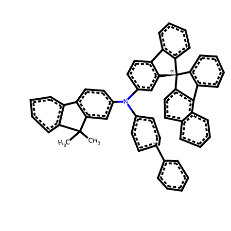 CC1(C)c2ccccc2-c2ccc(N(c3ccc(-c4ccccc4)cc3)c3ccc4c(c3)[C@@]3(c5ccccc5-4)c4ccccc4-c4c3ccc3ccccc43)cc21